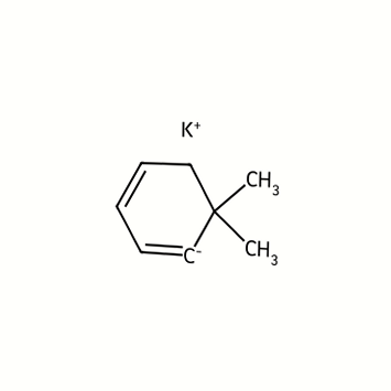 CC1(C)[C-]=CC=CC1.[K+]